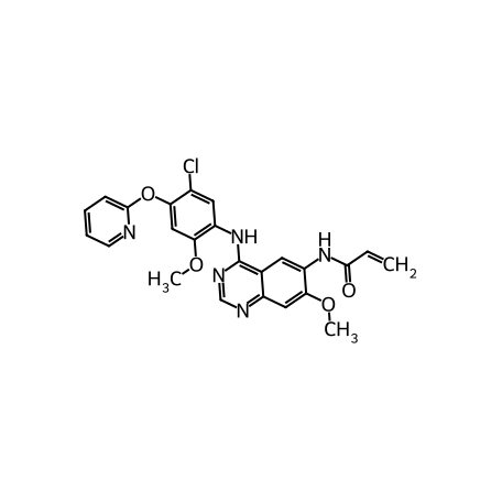 C=CC(=O)Nc1cc2c(Nc3cc(Cl)c(Oc4ccccn4)cc3OC)ncnc2cc1OC